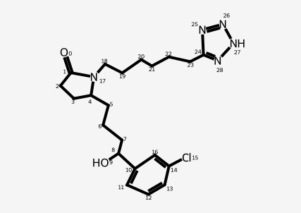 O=C1CCC(CCCC(O)c2cccc(Cl)c2)N1CCCCCCc1nn[nH]n1